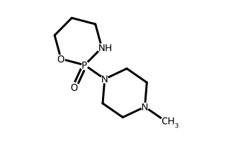 CN1CCN(P2(=O)NCCCO2)CC1